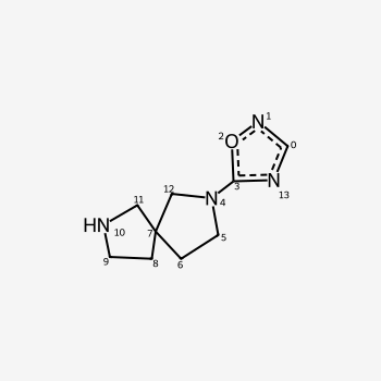 c1noc(N2CCC3(CCNC3)C2)n1